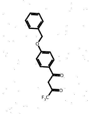 O=C(CC(=O)C(F)(F)F)c1ccc(OCc2ccccc2)cc1